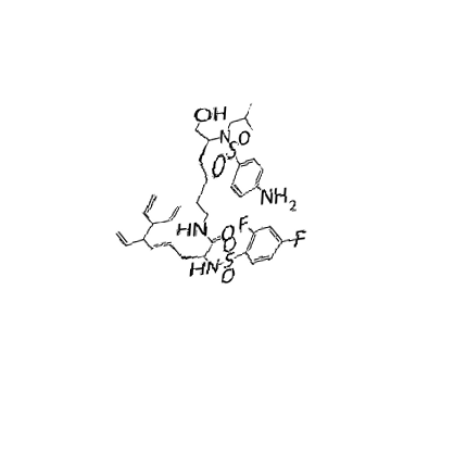 C=CC(C=C)C(C=C)/C=C/C[C@H](NS(=O)(=O)c1ccc(F)cc1F)C(=O)NCCCC[C@@H](CO)N(CC(C)C)S(=O)(=O)c1ccc(N)cc1